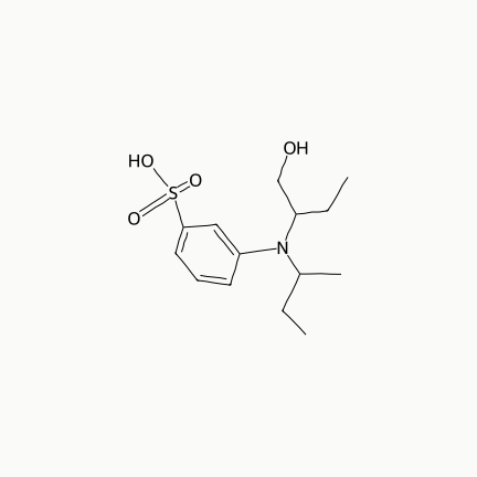 CCC(C)N(c1cccc(S(=O)(=O)O)c1)C(CC)CO